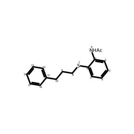 CC(=O)Nc1ccccc1SCCCc1ccccc1